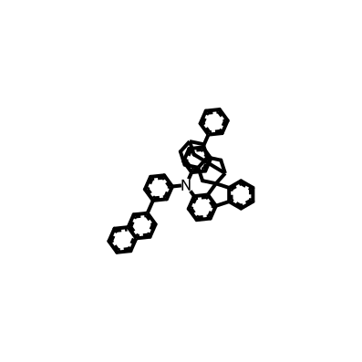 c1ccc(-c2ccc(N(c3cccc(-c4ccc5ccccc5c4)c3)c3cccc4c3C3(CC5CCC6CC5CC3C6)c3ccccc3-4)cc2)cc1